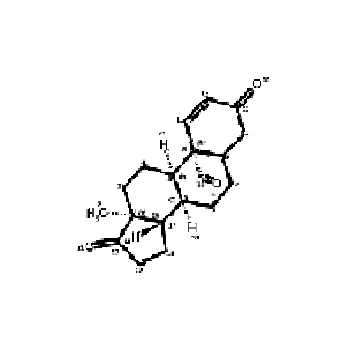 C[C@]12CC[C@@H]3[C@@H](CCC4CC(=O)C=C[C@@]43C=O)[C@@H]1CCC2=O